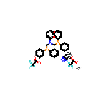 CC#N.CC#N.O=C([O-])C(F)(F)F.O=C([O-])C(F)(F)F.[Pd+2].c1ccc(N(CP(c2ccccc2)c2ccccc2)CP(c2ccccc2)c2ccccc2)cc1